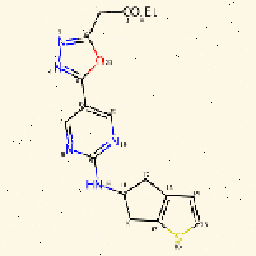 CCOC(=O)Cc1nnc(-c2cnc(NC3Cc4ccsc4C3)nc2)o1